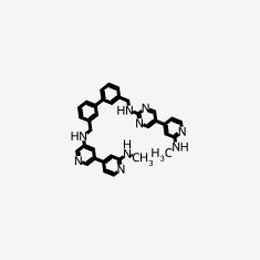 CNc1cc(-c2cnc(NCc3cccc(-c4cccc(CNc5cncc(-c6ccnc(NC)c6)c5)c4)c3)nc2)ccn1